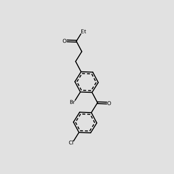 CCC(=O)CCc1ccc(C(=O)c2ccc(Cl)cc2)c(Br)c1